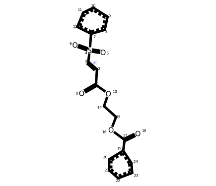 O=C(/C=C/S(=O)(=O)c1ccccc1)OCCOC(=O)c1ccccc1